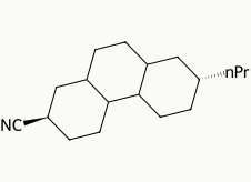 CCC[C@@H]1CCC2C(CCC3C[C@H](C#N)CCC32)C1